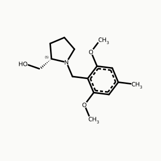 COc1cc(C)cc(OC)c1CN1CCC[C@H]1CO